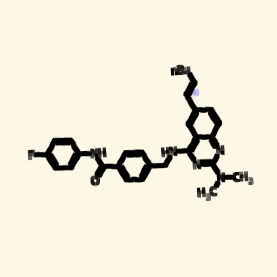 CCCC/C=C/c1ccc2nc(N(C)C)nc(NCc3ccc(C(=O)Nc4ccc(F)cc4)cc3)c2c1